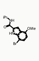 COc1ccc(Br)c2[nH]c(C(=O)NC(C)C)cc12